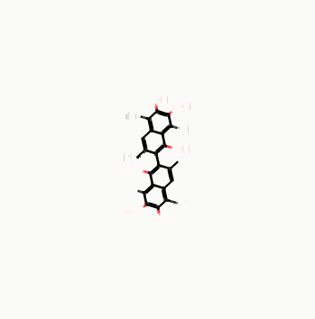 Cc1cc2c(C(C)C)c(O)c(O)c(C=O)c2c(O)c1-c1c(C)cc2c(C(C)C)c(O)c(O)c(C=O)c2c1O.[PbH2]